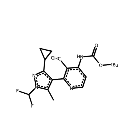 Cc1c(-c2nccc(NC(=O)OC(C)(C)C)c2C=O)c(C2CC2)nn1C(F)F